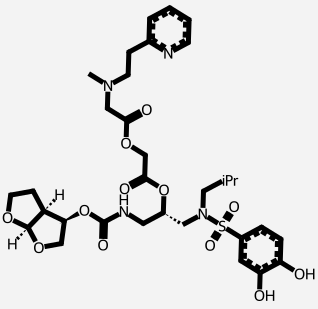 CC(C)CN(C[C@H](CNC(=O)O[C@H]1CO[C@H]2OCC[C@H]21)OC(=O)COC(=O)CN(C)CCc1ccccn1)S(=O)(=O)c1ccc(O)c(O)c1